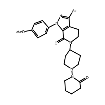 COc1ccc(-n2nc(C(C)=O)c3c2C(=O)N(C2CCN(N4CCCCC4=O)CC2)CC3)cc1